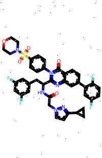 O=C(Cn1ccc(C2CC2)n1)NC(Cc1cc(F)cc(F)c1)c1nc2cc(-c3cc(F)ccc3F)ccc2c(=O)n1-c1ccc(S(=O)(=O)N2CCOCC2)cc1